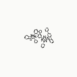 c1ccc(-c2ccc3c4ccccc4n(-c4nc(-c5ccccc5)nc(-c5ccc6c(c5)oc5cccc(-c7nc(-c8ccccc8)c8sc9ccccc9c8n7)c56)n4)c3c2)cc1